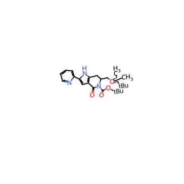 CC(C)(C)OC(=O)N1C(=O)c2cc(-c3ccccn3)[nH]c2CC1CO[Si](C)(C)C(C)(C)C